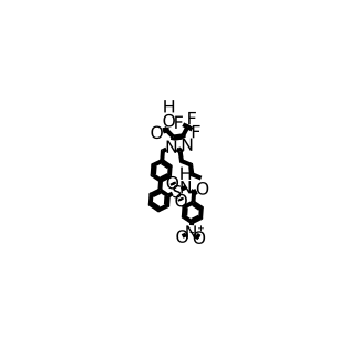 CCCCc1nc(C(F)(F)F)c(C(=O)O)n1Cc1ccc(-c2ccccc2S(=O)(=O)NC(=O)c2ccc([N+](=O)[O-])cc2)cc1